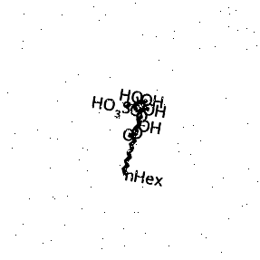 CCCCCC/C=C\CCCCCCCC(=O)OC[C@@H](O)CO[C@H]1O[C@H](CS(=O)(=O)O)[C@@H](O)C(O)C1O